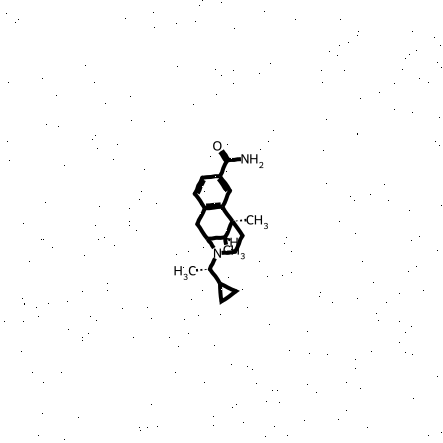 C[C@@H](C1CC1)N1CC[C@]2(C)c3cc(C(N)=O)ccc3CC1[C@@H]2C